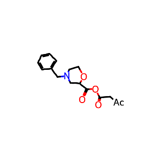 CC(=O)CC(=O)OC(=O)C1CN(Cc2ccccc2)CCO1